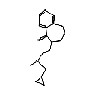 CN(CCC1CCCc2ccccc2C1=O)CC1CC1